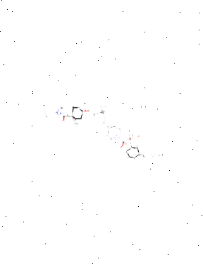 COc1cccc(C(O)(C(=O)N2CCC(CC[C@H](C)COc3ccc(C(=O)N(C)C)c(Cl)c3)CC2)C(F)(F)F)c1